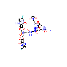 COc1cc2c(cc1OCCP(=O)(CCOc1cc3c(cc1OC)C(=O)N1C[C@H](F)C[C@H]1CN3)N(C)CCCC(=O)NCCNC(=O)[C@@H](CCCNC(N)=O)NC(=O)[C@H](NC(=O)CCCN1C(=O)C=CC1=O)C(C)C)N=C[C@@H]1C[C@@H](F)CN1C2=O